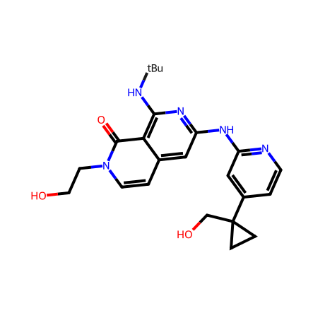 CC(C)(C)Nc1nc(Nc2cc(C3(CO)CC3)ccn2)cc2ccn(CCO)c(=O)c12